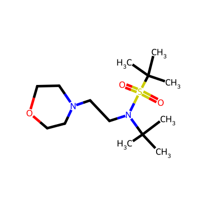 CC(C)(C)N(CCN1CCOCC1)S(=O)(=O)C(C)(C)C